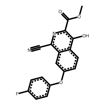 COC(=O)c1nc(C#N)c2cc(Oc3ccc(F)cc3)ccc2c1O